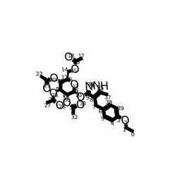 CCOc1ccc(Cc2c(O[C@@H]3O[C@H](COC(C)=O)[C@@H](OC(C)=O)[C@H](OC(C)=O)[C@H]3OC(C)=O)n[nH]c2C)cc1